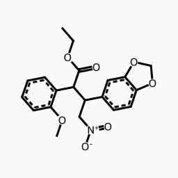 CCOC(=O)C(c1ccccc1OC)C(C[N+](=O)[O-])c1ccc2c(c1)OCO2